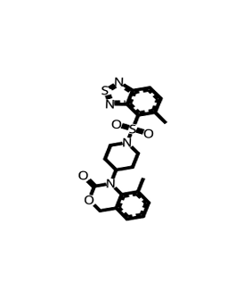 Cc1cccc2c1N(C1CCN(S(=O)(=O)c3c(C)ccc4nsnc34)CC1)C(=O)OC2